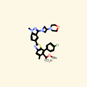 Cc1cc2nc(-c3ccc4c(c3)c(N3CC(N5CCOCC5)C3)nn4C)sc2c(-c2ccc(Cl)cc2)c1C(OC(C)(C)C)C(=O)O